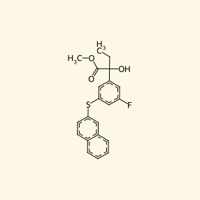 CCC(O)(C(=O)OC)c1cc(F)cc(Sc2ccc3ccccc3c2)c1